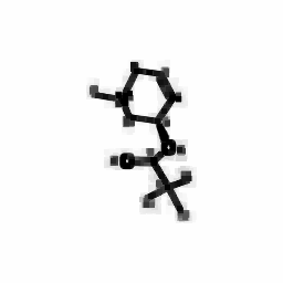 CN1CC=C[C@@H](OC(=O)C(C)(C)C)C1